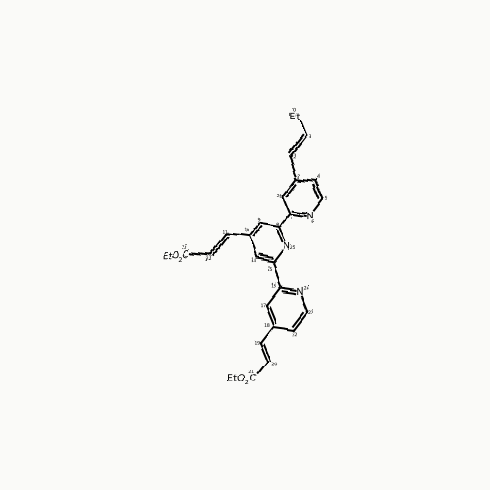 CC/C=C/c1ccnc(-c2cc(/C=C/C(=O)OCC)cc(-c3cc(/C=C/C(=O)OCC)ccn3)n2)c1